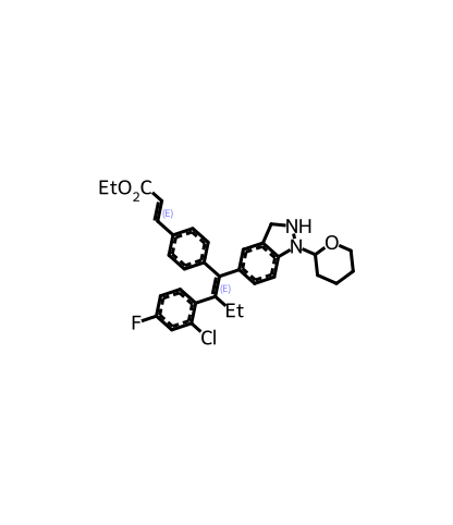 CCOC(=O)/C=C/c1ccc(/C(=C(/CC)c2ccc(F)cc2Cl)c2ccc3c(c2)CNN3C2CCCCO2)cc1